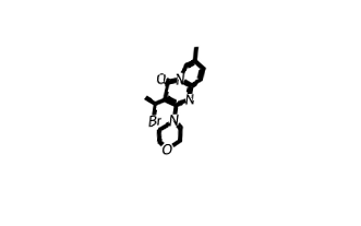 Cc1ccc2nc(N3CCOCC3)c(C(C)Br)c(=O)n2c1